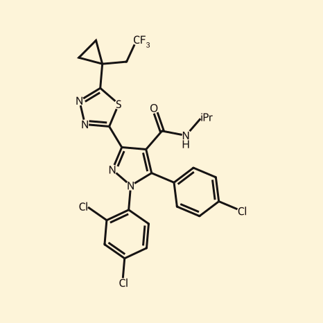 CC(C)NC(=O)c1c(-c2nnc(C3(CC(F)(F)F)CC3)s2)nn(-c2ccc(Cl)cc2Cl)c1-c1ccc(Cl)cc1